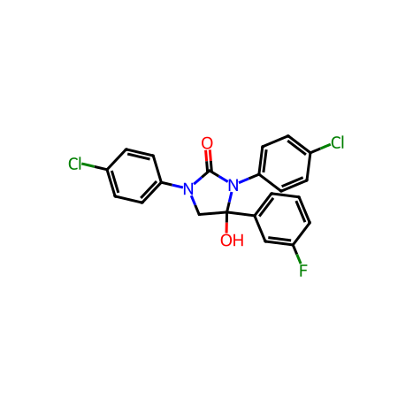 O=C1N(c2ccc(Cl)cc2)CC(O)(c2cccc(F)c2)N1c1ccc(Cl)cc1